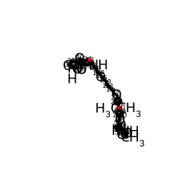 CC(C)(c1ccc(OCCCCCCCCOCCCCNc2ccc3c(c2)C(=O)N(C2CCC(=O)NC2=O)C3=O)cc1)c1ccc(OCc2cncc(NS(C)(=O)=O)n2)cc1